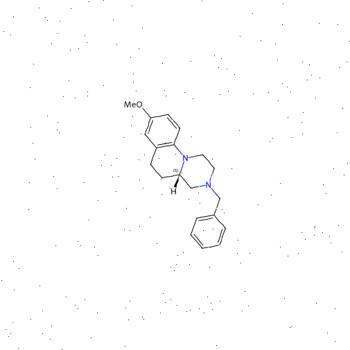 COc1ccc2c(c1)CC[C@H]1CN(Cc3ccccc3)CCN21